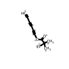 C#CC#CC#COC(=O)C(C)(C)CC